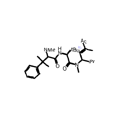 CNC(C(=O)NC(C(=O)N(C)C(/C=C(\C)C(C)=O)C(C)C)C(C)(C)C)C(C)(C)c1ccccc1